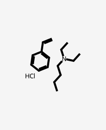 C=Cc1ccccc1.CCCCN(CC)CC.Cl